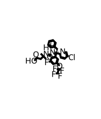 CC(C)(CC(=O)O)NC(=O)N[C@@](Cc1ccccc1)(c1cc(F)cc(OC(F)(F)C(F)F)c1)c1ccc(Cl)cn1